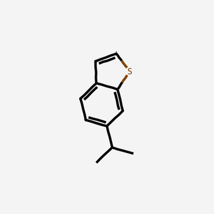 CC(C)c1ccc2c[c]sc2c1